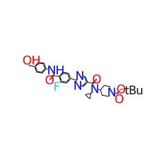 CC(C)(C)OC(=O)N1CCC(N(C(=O)c2cnc(-c3ccc(C(=O)Nc4ccc(CO)cc4)c(F)c3)nc2)C2CC2)CC1